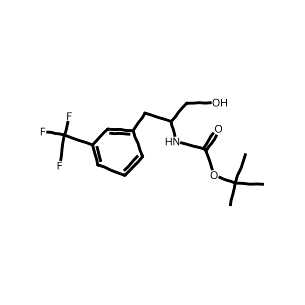 CC(C)(C)OC(=O)NC(CO)Cc1cccc(C(F)(F)F)c1